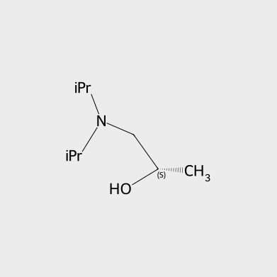 CC(C)N(C[C@H](C)O)C(C)C